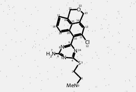 CNCCSc1nc(N)nc(-c2c(Cl)cc3c4c(cccc24)COC3)n1